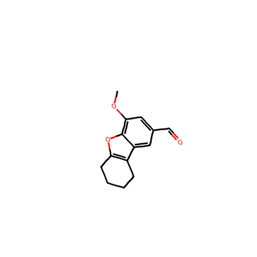 COc1cc(C=O)cc2c3c(oc12)CCCC3